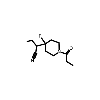 CCC(=O)N1CCC(F)(C(C#N)CC)CC1